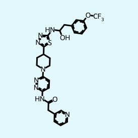 O=C(Cc1cccnc1)Nc1ccc(N2CCC(c3nnc(NC(O)Cc4cccc(OC(F)(F)F)c4)s3)CC2)nn1